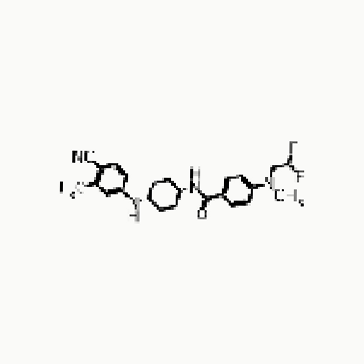 CN(CC(F)F)c1ccc(C(=O)N[C@H]2CC[C@@H](Nc3ccc(C#N)c(C(F)(F)F)c3)CC2)cc1